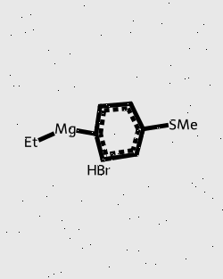 Br.C[CH2][Mg][c]1ccc(SC)cc1